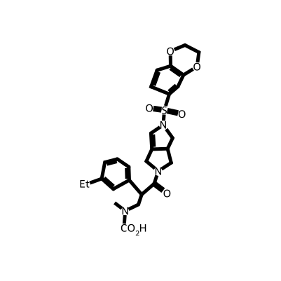 CCc1cccc(C(CN(C)C(=O)O)C(=O)N2CC3=CN(S(=O)(=O)c4ccc5c(c4)OCCO5)CC3C2)c1